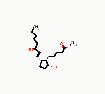 CCCCCC(O)C=C[C@H]1CC[C@@H](O)[C@H]1CCCCC(=O)OC